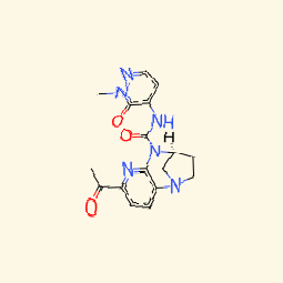 CC(=O)c1ccc2c(n1)N(C(=O)Nc1ccnn(C)c1=O)[C@H]1CCN2C1